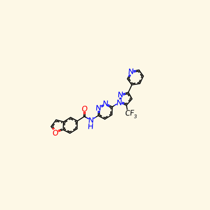 O=C(Nc1ccc(-n2nc(-c3cccnc3)cc2C(F)(F)F)nn1)c1ccc2occc2c1